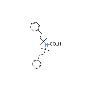 CC(C)(CCc1ccccc1)N(C(=O)O)C(C)(C)CCc1ccccc1